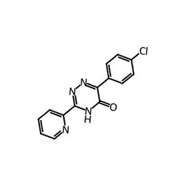 O=c1[nH]c(-c2ccccn2)nnc1-c1ccc(Cl)cc1